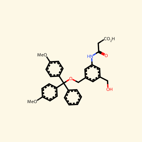 COc1ccc(C(OCc2cc(CO)cc(NC(=O)CC(=O)O)c2)(c2ccccc2)c2ccc(OC)cc2)cc1